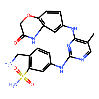 Cc1cnc(Nc2ccc(CN)c(S(N)(=O)=O)c2)nc1Nc1ccc2c(c1)NC(=O)CO2